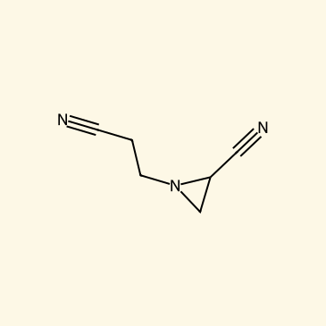 N#CCCN1CC1C#N